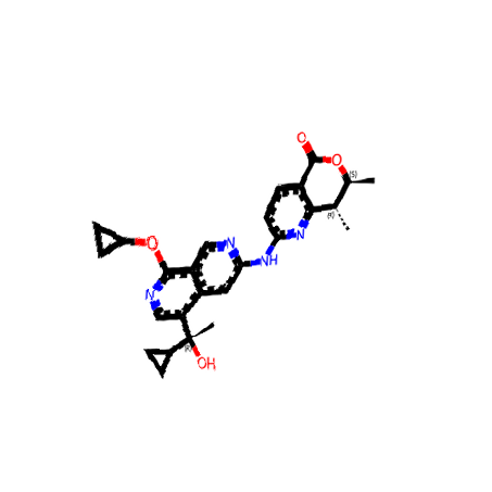 C[C@@H]1OC(=O)c2ccc(Nc3cc4c([C@](C)(O)C5CC5)cnc(OC5CC5)c4cn3)nc2[C@H]1C